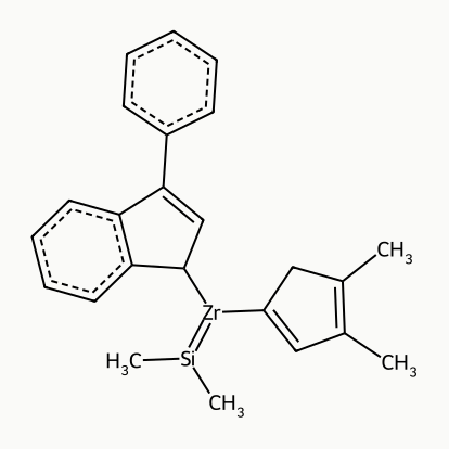 CC1=C(C)C[C]([Zr]([CH]2C=C(c3ccccc3)c3ccccc32)=[Si](C)C)=C1